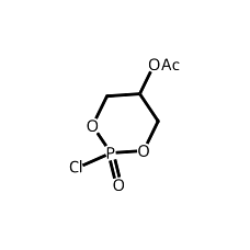 CC(=O)OC1COP(=O)(Cl)OC1